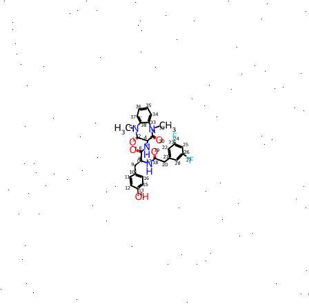 CN1C(=O)C(NC(=O)[C@H](Cc2ccc(O)cc2)NC(=O)Cc2cc(F)cc(F)c2)C(=O)N(C)c2ccccc21